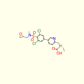 CC[C@@H](Cc1ccc(-c2cc(Cl)c(S(=O)(=O)N(C)CC3CO3)c(Cl)c2)cn1)C(=O)O